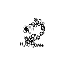 CCS(=O)(=O)O.COc1ccc([C@]2(CCN(Cc3ccc(C4=CC[C@H](CN5CCN(C(=O)c6ccc7c8c6CCCn8c(=O)n7C6CCC(=O)NC6=O)CC5)CC4)cc3)CC(C)(C)C(F)(F)F)CCOC(C)(C)C2)cc1